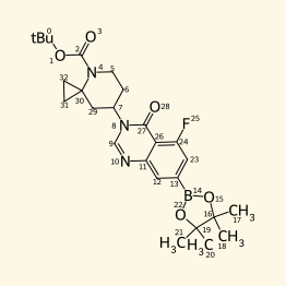 CC(C)(C)OC(=O)N1CCC(n2cnc3cc(B4OC(C)(C)C(C)(C)O4)cc(F)c3c2=O)CC12CC2